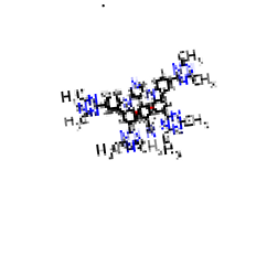 Cc1nc(C)nc(-c2ccc3c(c2)c2cc(-c4nc(C)nc(C)n4)ccc2n3-c2cncc(-n3c4ccc(-c5nc(C)nc(C)n5)cc4c4cc(-c5nc(C)nc(C)n5)ccc43)c2-c2ccc(C#N)cc2)n1